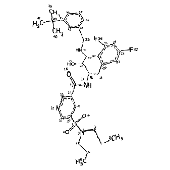 CCCN(CCC)S(=O)(=O)c1cncc(C(=O)N[C@@H](Cc2cc(F)cc(F)c2)[C@H](O)CNCc2cccc(C(C)(C)C)c2)c1